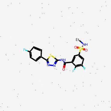 CCNS(=O)(=O)c1cc(F)c(F)c(C(=O)Nc2nnc(-c3ccc(F)cc3)s2)c1